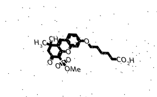 COS(=O)(=O)C1=C2Oc3cc(OCCCCCC(=O)O)ccc3C=C2C(C)(C)CC1=O